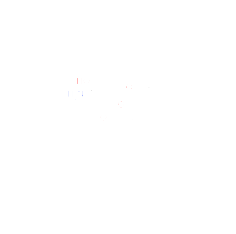 NC1(O)CC(COCc2ccccc2)C(OCc2ccccc2)C(OCc2ccccc2)C1